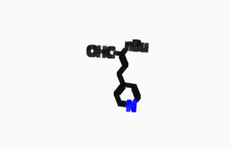 CCCCC(C=O)=CCc1ccncc1